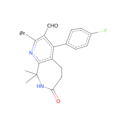 CC(C)c1nc2c(c(-c3ccc(F)cc3)c1C=O)CCC(=O)NC2(C)C